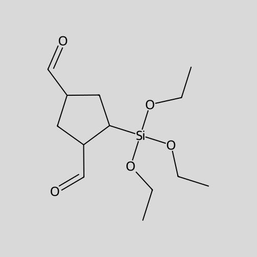 CCO[Si](OCC)(OCC)C1CC(C=O)CC1C=O